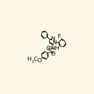 COc1ccc(S(=O)(=O)Nc2cc(-c3ccccc3)nn2-c2ccccc2F)cc1